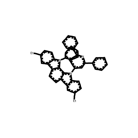 CCc1ccc2c(c1)c1ccc3c4cc(CC)ccc4n(-c4cc(-c5ccccc5)nc(-c5ccccc5)c4)c3c1n2-c1ccccc1